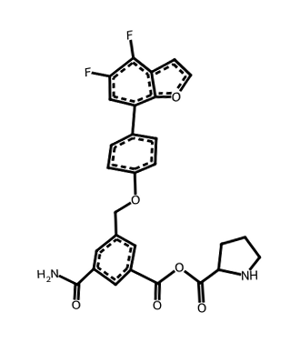 NC(=O)c1cc(COc2ccc(-c3cc(F)c(F)c4ccoc34)cc2)cc(C(=O)OC(=O)C2CCCN2)c1